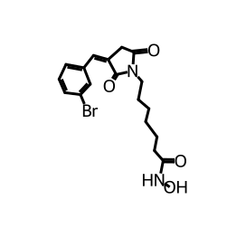 O=C(CCCCCCN1C(=O)CC(=Cc2cccc(Br)c2)C1=O)NO